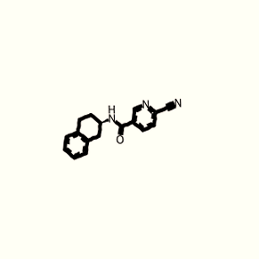 N#Cc1ccc(C(=O)N[C@@H]2CCc3ccccc3C2)cn1